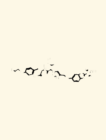 CC(C)[C@@H](C(=O)N[C@@H](Cc1ccc(OCC[18F])cc1)C(=O)O)n1cc(COc2ccc3nc(S(N)(=O)=O)sc3c2)nn1